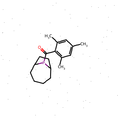 Cc1cc(C)c(C(=O)P2C3CCCCC2CC3)c(C)c1